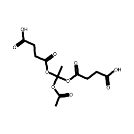 CC(=O)OC(C)(OC(=O)CCC(=O)O)OC(=O)CCC(=O)O